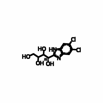 OCC(O)C(O)[C@@H](O)c1nc2cc(Cl)c(Cl)cc2[nH]1